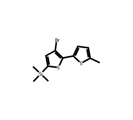 Cc1ccc(-c2sc([Si](C)(C)C)cc2Br)s1